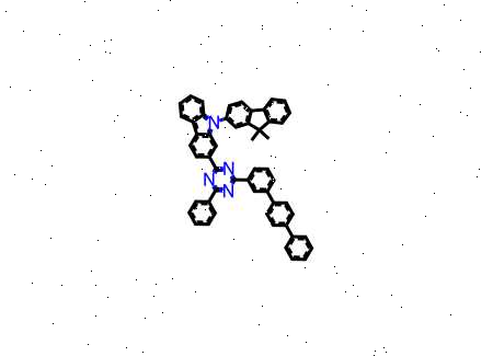 CC1(C)c2ccccc2-c2ccc(-n3c4ccccc4c4ccc(-c5nc(-c6ccccc6)nc(-c6cccc(-c7ccc(-c8ccccc8)cc7)c6)n5)cc43)cc21